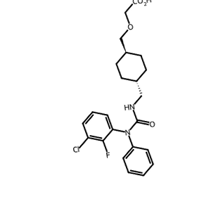 O=C(O)COC[C@H]1CC[C@H](CNC(=O)N(c2ccccc2)c2cccc(Cl)c2F)CC1